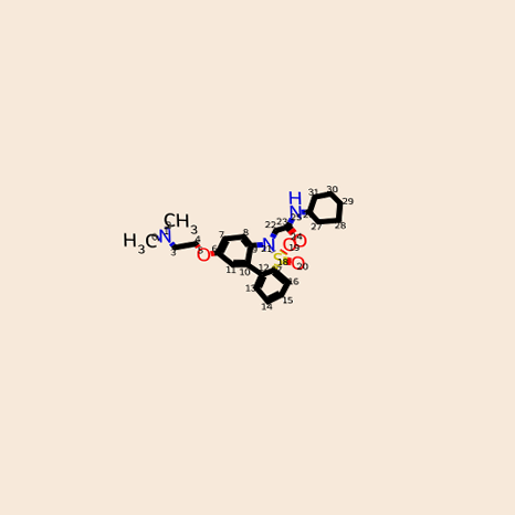 CN(C)CCOc1ccc2c(c1)-c1ccccc1S(=O)(=O)N2CC(=O)NC1CCCCC1